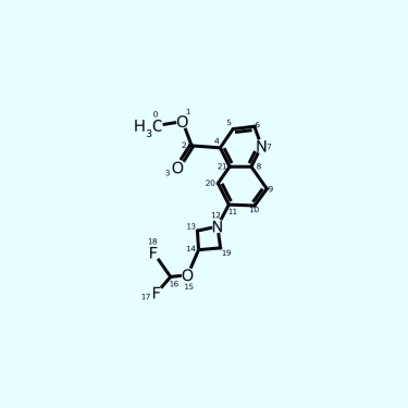 COC(=O)c1ccnc2ccc(N3CC(OC(F)F)C3)cc12